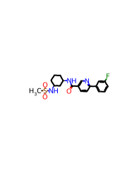 CS(=O)(=O)N[C@H]1CCC[C@@H](NC(=O)c2ccc(-c3cccc(F)c3)nc2)C1